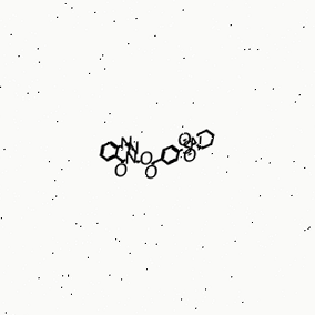 O=C(OCn1nnc2ccccc2c1=O)c1ccc(S(=O)(=O)N2CCCCC2)cc1